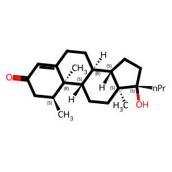 CCC[C@]1(O)CC[C@H]2[C@@H]3CCC4=CC(=O)C[C@H](C)[C@]4(C)[C@H]3CC[C@@]21C